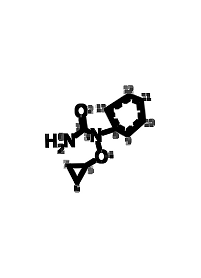 NC(=O)N(OC1CC1)c1ccccc1